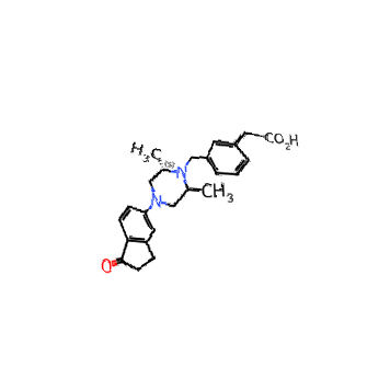 CC1CN(c2ccc3c(c2)CCC3=O)C[C@H](C)N1Cc1cccc(CC(=O)O)c1